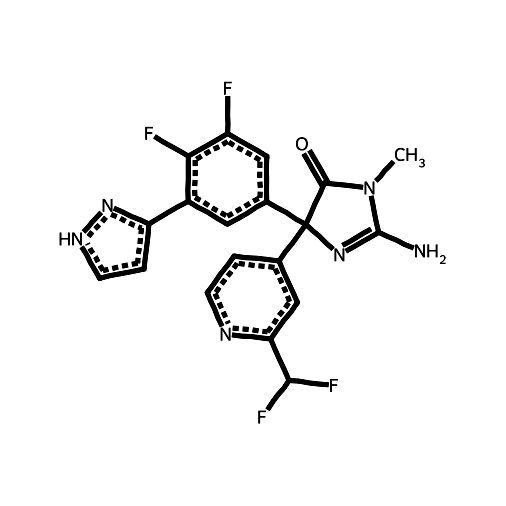 CN1C(=O)C(c2ccnc(C(F)F)c2)(c2cc(F)c(F)c(-c3cc[nH]n3)c2)N=C1N